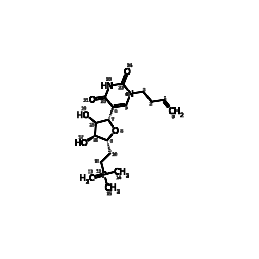 C=CCCn1cc([C@@H]2O[C@H](CCP(=C)(C)C)[C@@H](O)C2O)c(=O)[nH]c1=O